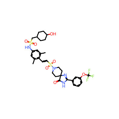 Cc1cc(NS(=O)(=O)CC2CCC(O)CC2)cc(C)c1C=CS(=O)(=O)N1CCC2(CC1)N=C(c1cccc(OC(F)(F)F)c1)NC2=O